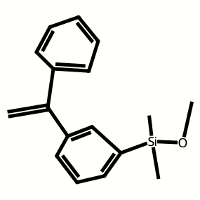 C=C(c1ccccc1)c1cccc([Si](C)(C)OC)c1